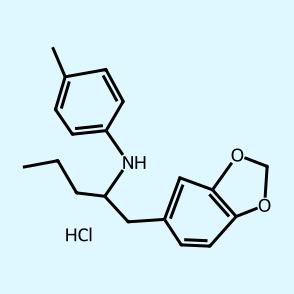 CCCC(Cc1ccc2c(c1)OCO2)Nc1ccc(C)cc1.Cl